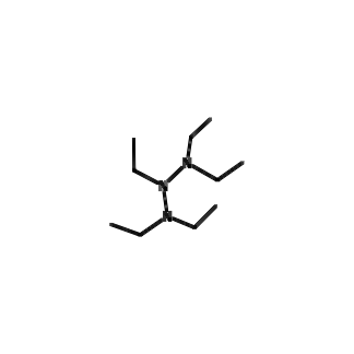 CCN(CC)N(CC)N(CC)CC